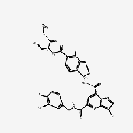 Cc1c(C(=O)N[C@@H](CC(C)C)C(=O)OC(C)(C)C)ccc2c1CC[C@@H]2NC(=O)c1cc(C(=O)NCc2ccc(F)c(C(F)(F)F)c2)nc2c(F)cnn12